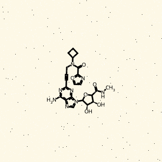 CNC(=O)C1OC(n2cnc3c(N)nc(C#CCN(C(=O)c4ncco4)C4CCC4)nc32)[C@H](O)[C@@H]1O